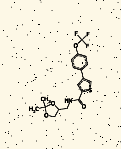 CC1(C)OCC(CNC(=O)c2cc(-c3ccc(OC(F)(F)F)cc3)cs2)O1